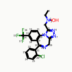 CCN(O)Cc1nnc2n1-c1ccc(C(F)(F)F)cc1C(c1ccccc1Cl)=NC2